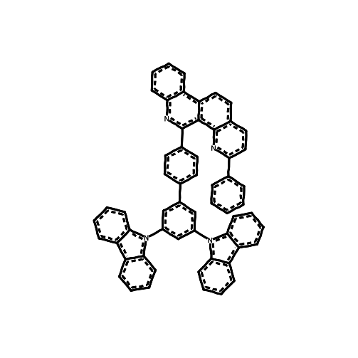 c1ccc(-c2ccc3ccc4c5ccccc5nc(-c5ccc(-c6cc(-n7c8ccccc8c8ccccc87)cc(-n7c8ccccc8c8ccccc87)c6)cc5)c4c3n2)cc1